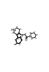 Cc1ccc2c(c1)c1c(n2CC(=O)N2CCCCC2)CCNC1